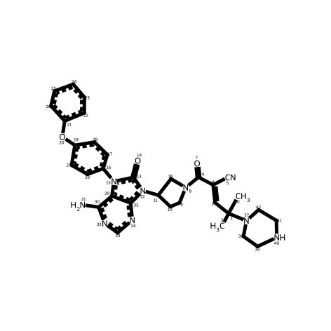 CC(C)(C=C(C#N)C(=O)N1CCC(n2c(=O)n(-c3ccc(Oc4ccccc4)cc3)c3c(N)ncnc32)C1)N1CCNCC1